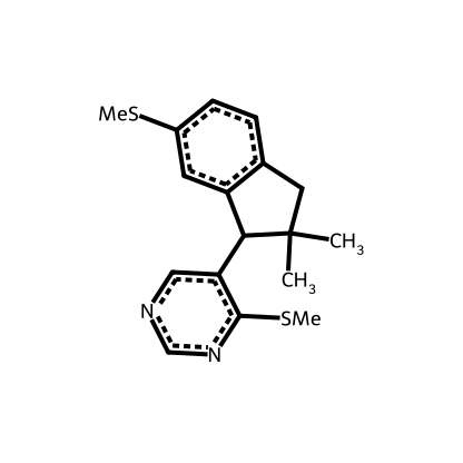 CSc1ccc2c(c1)C(c1cncnc1SC)C(C)(C)C2